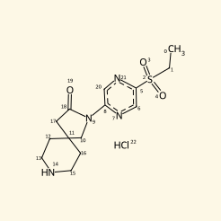 CCS(=O)(=O)c1cnc(N2CC3(CCNCC3)CC2=O)cn1.Cl